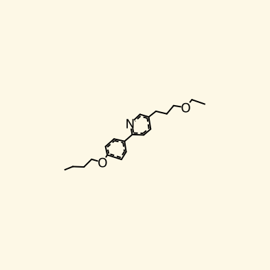 CCCCOc1ccc(-c2ccc(CCCOCC)cn2)cc1